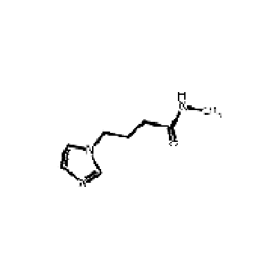 CNC(=O)CCCn1c[c]nc1